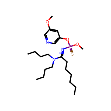 CCCCCC/C(=N\P(=S)(OC)Oc1cncc(OC)c1)N(CCCC)CCCC